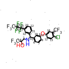 OC(CNC(c1cccc(Oc2ccc(Cl)c(C(F)(F)F)c2)c1)c1cccc(C(F)(F)C(F)(F)C(F)(F)F)c1)C(F)(F)F